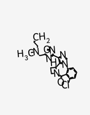 C=CCN(C)Cc1nc(-c2ncn3c2[C@@H]2CCN2C(=O)c2c(Cl)cccc2-3)no1